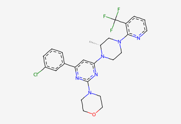 C[C@@H]1CN(c2ncccc2C(F)(F)F)CCN1c1cc(-c2cccc(Cl)c2)nc(N2CCOCC2)n1